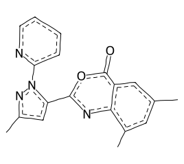 Cc1cc(C)c2nc(-c3cc(C)nn3-c3ccccn3)oc(=O)c2c1